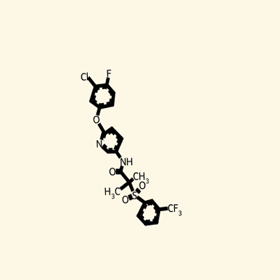 CC(C)(C(=O)Nc1ccc(Oc2ccc(F)c(Cl)c2)nc1)S(=O)(=O)c1cccc(C(F)(F)F)c1